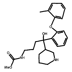 COC(=O)NCCCC(O)(c1ccccc1Oc1ccccc1C)C1CCCNC1